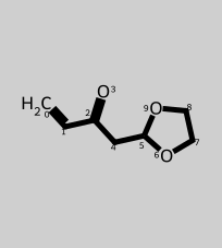 C=CC(=O)CC1OCCO1